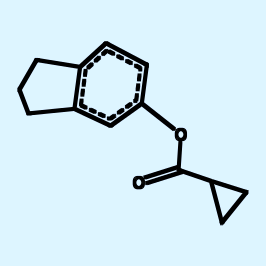 O=C(Oc1ccc2c(c1)CCC2)C1CC1